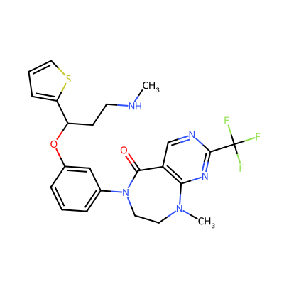 CNCCC(Oc1cccc(N2CCN(C)c3nc(C(F)(F)F)ncc3C2=O)c1)c1cccs1